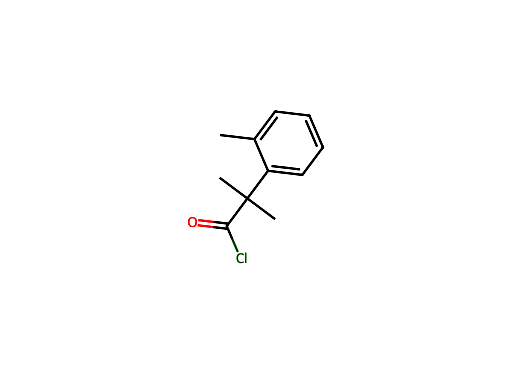 Cc1ccccc1C(C)(C)C(=O)Cl